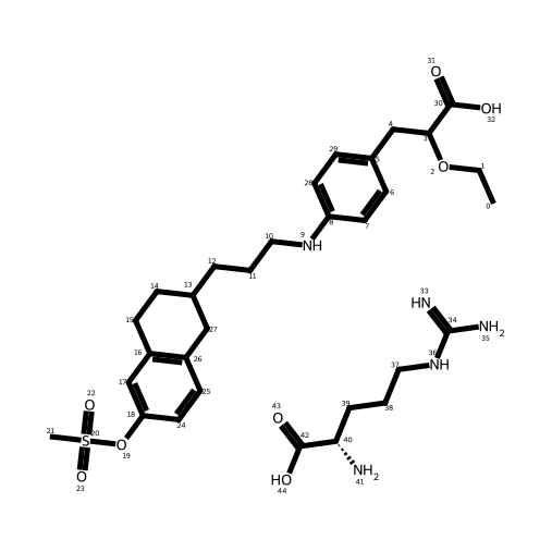 CCOC(Cc1ccc(NCCCC2CCc3cc(OS(C)(=O)=O)ccc3C2)cc1)C(=O)O.N=C(N)NCCC[C@H](N)C(=O)O